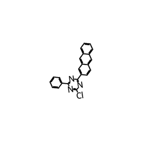 Clc1nc(-c2ccccc2)nc(-c2ccc3cc4ccccc4cc3c2)n1